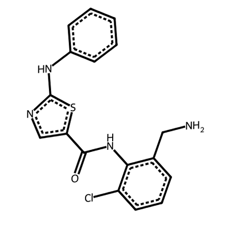 NCc1cccc(Cl)c1NC(=O)c1cnc(Nc2ccccc2)s1